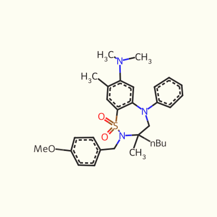 CCCCC1(C)CN(c2ccccc2)c2cc(N(C)C)c(C)cc2S(=O)(=O)N1Cc1ccc(OC)cc1